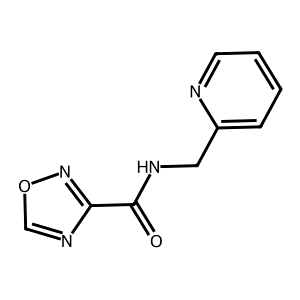 O=C(NCc1ccccn1)c1ncon1